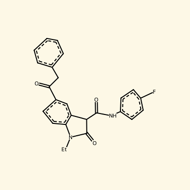 CCN1C(=O)C(C(=O)Nc2ccc(F)cc2)c2cc(C(=O)Cc3ccccc3)ccc21